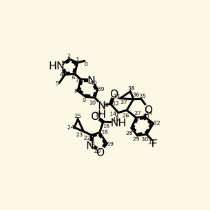 Cc1c[nH]c(C)c1-c1ccc(NC(=O)[C@@H](NC(=O)c2conc2C2CC2)C2c3ccc(F)cc3OCC23CC3)cn1